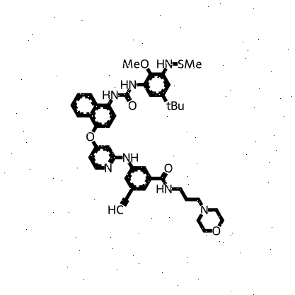 C#Cc1cc(Nc2cc(Oc3ccc(NC(=O)Nc4cc(C(C)(C)C)cc(NSC)c4OC)c4ccccc34)ccn2)cc(C(=O)NCCCN2CCOCC2)c1